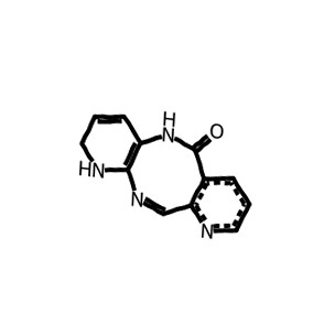 O=C1NC2=C(/N=C\c3ncccc31)NCC=C2